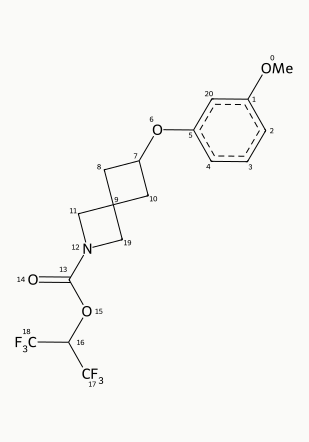 COc1cccc(OC2CC3(C2)CN(C(=O)OC(C(F)(F)F)C(F)(F)F)C3)c1